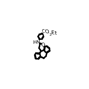 CCOC(=O)c1ccc(NC(=O)CC2c3ccccc3CCc3ccccc32)cc1